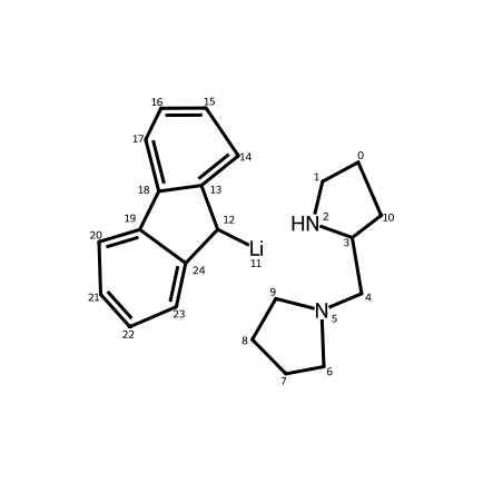 C1CNC(CN2CCCC2)C1.[Li][CH]1c2ccccc2-c2ccccc21